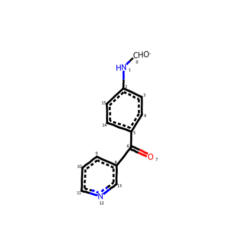 O=[C]Nc1ccc(C(=O)c2cccnc2)cc1